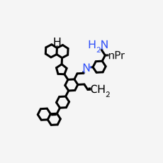 C=CCC1CC(C2CCC(C3=C4CCCCC4CCC3)CC2)CC(C2CCC(C3CCC[C@@H]4CCCCC34)C2)C1C/C=N/C1CCCC(C(CN)CCC)C1